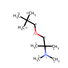 CN(C)C(C)(C)COCC(C)(C)C